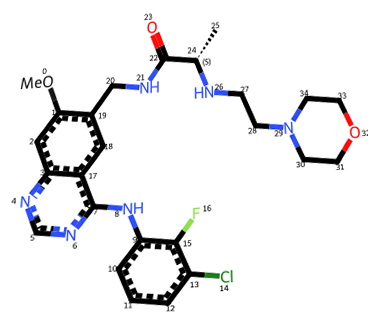 COc1cc2ncnc(Nc3cccc(Cl)c3F)c2cc1CNC(=O)[C@H](C)NCCN1CCOCC1